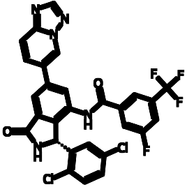 O=C(Nc1cc(-c2ccc3ncnn3c2)cc2c1[C@H](c1cc(Cl)ccc1Cl)NC2=O)c1cc(F)cc(C(F)(F)F)c1